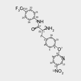 N[C@@H](Cc1ccc(Oc2ccc([N+](=O)[O-])cn2)cc1)C(=O)Nc1ccc(C(F)(F)F)cc1